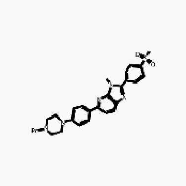 CC(C)N1CCN(c2ccc(-c3ccc4nc(-c5ccc(S(C)(=O)=O)cc5)n(C)c4n3)cc2)CC1